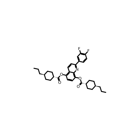 CCC[C@H]1CC[C@H](C(=O)Oc2ccc(OC(=O)[C@H]3CC[C@H](CCC)CC3)c3nc(-c4ccc(F)c(F)c4)ccc23)CC1